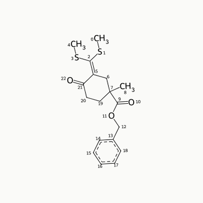 CSC(SC)=C1CC(C)(C(=O)OCc2ccccc2)CCC1=O